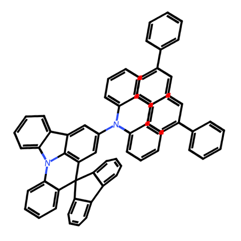 c1ccc(-c2ccc(-c3ccccc3N(c3cc4c5c(c3)c3ccccc3n5-c3ccccc3C43c4ccccc4-c4ccccc43)c3ccccc3-c3ccc(-c4ccccc4)cc3)cc2)cc1